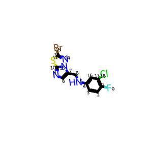 Fc1ccc(NCc2cnc3sc(Br)nn23)cc1Cl